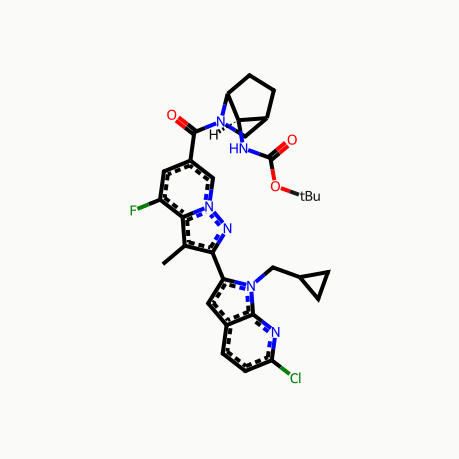 Cc1c(-c2cc3ccc(Cl)nc3n2CC2CC2)nn2cc(C(=O)N3CC4CCC3[C@@H]4NC(=O)OC(C)(C)C)cc(F)c12